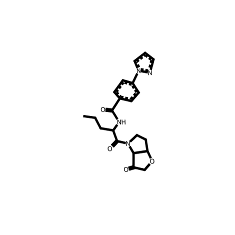 CCCC(NC(=O)c1ccc(-n2cccn2)cc1)C(=O)N1CCC2OCC(=O)C21